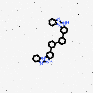 c1cc(-c2cccc(-c3ccc4[nH]c5nc6ccccc6n5c4c3)c2)cc(-c2ccc3[nH]c4nc5ccccc5n4c3c2)c1